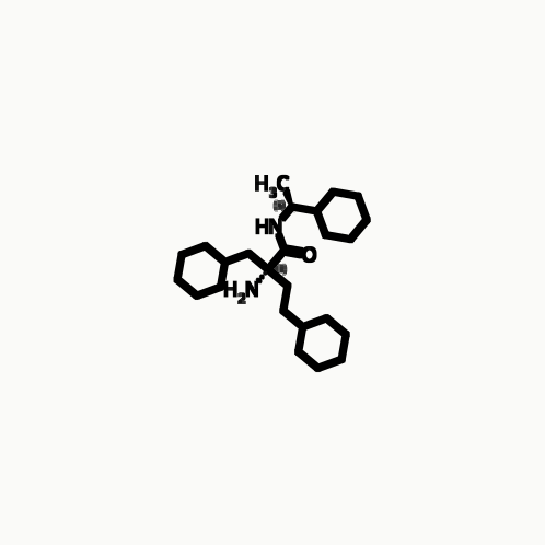 C[C@H](NC(=O)[C@@](N)(CCC1CCCCC1)CC1CCCCC1)C1CCCCC1